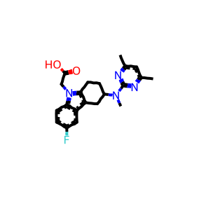 Cc1cc(C)nc(N(C)C2CCc3c(c4cc(F)ccc4n3CC(=O)O)C2)n1